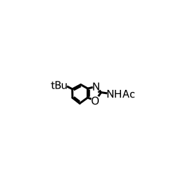 CC(=O)Nc1nc2cc(C(C)(C)C)ccc2o1